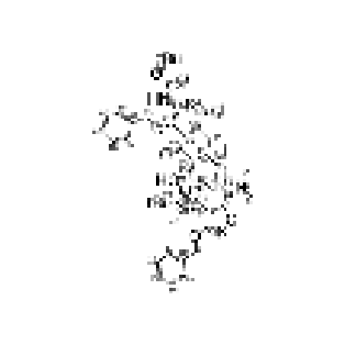 CN(C)[C@@H]1c2onc(OCc3ccccc3)c2C(=O)[C@@]2(O[Si](C)(C)C(C)(C)C)C(O)=C3C(=O)c4c(c(Cl)nc(NC(=O)OC(C)(C)C)c4OCc4ccccc4)C[C@H]3C[C@@H]12